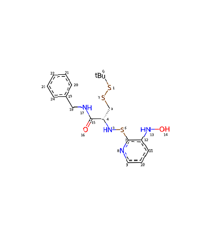 CC(C)(C)SSC[C@H](NSc1ncccc1NO)C(=O)NCc1ccccc1